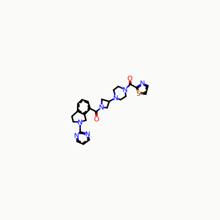 O=C(c1nccs1)N1CCN(C2CN(C(=O)c3cccc4c3CN(c3ncccn3)CC4)C2)CC1